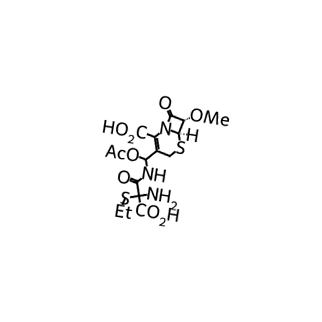 CCSC(N)(C(=O)O)C(=O)NC(OC(C)=O)C1=C(C(=O)O)N2C(=O)[C@H](OC)[C@H]2SC1